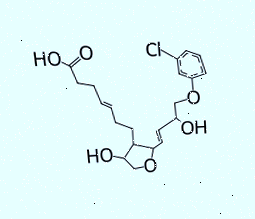 O=C(O)CCC=CCCC1C(O)COC1C=CC(O)COc1cccc(Cl)c1